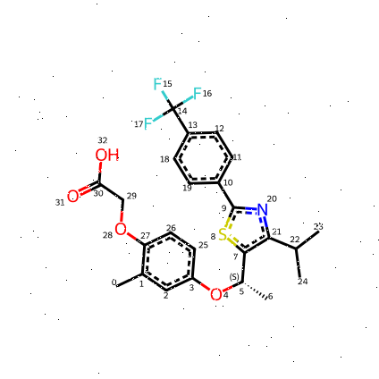 Cc1cc(O[C@@H](C)c2sc(-c3ccc(C(F)(F)F)cc3)nc2C(C)C)ccc1OCC(=O)O